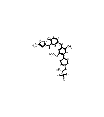 COc1cc(Nc2ncc(Cl)c(Nc3cc(C)[nH]n3)n2)c(C)cc1C1CCN(C[C@@H](O)C(F)(F)F)CC1